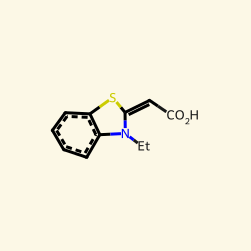 CCN1C(=CC(=O)O)Sc2ccccc21